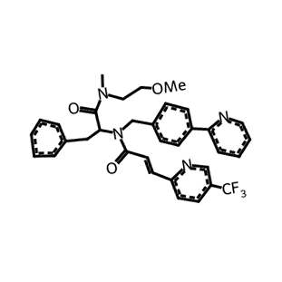 COCCN(C)C(=O)C(Cc1ccccc1)N(Cc1ccc(-c2ccccn2)cc1)C(=O)C=Cc1ccc(C(F)(F)F)cn1